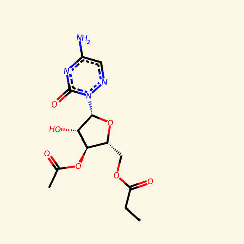 CCC(=O)OC[C@H]1O[C@@H](n2ncc(N)nc2=O)[C@@H](O)[C@@H]1OC(C)=O